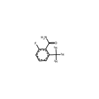 [2H]C([2H])([2H])c1cccc(F)c1C(N)=O